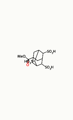 COC(=O)C12CC3C(S(=O)(=O)O)C(C1)C(S(=O)(=O)O)C(C2)C3S(=O)(=O)O